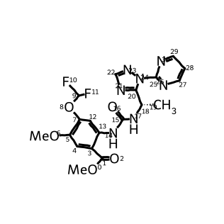 COC(=O)c1cc(OC)c(OC(F)F)cc1NC(=O)N[C@@H](C)c1ncnn1-c1ncccn1